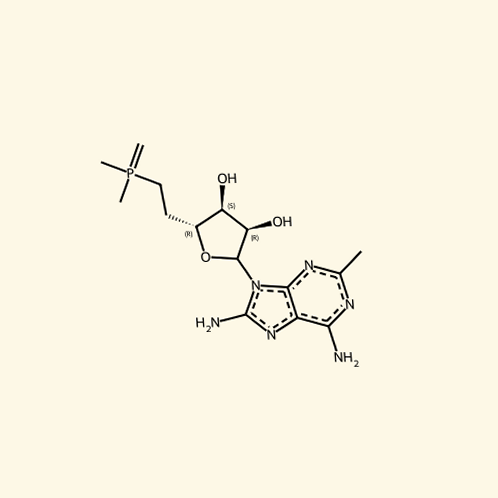 C=P(C)(C)CC[C@H]1OC(n2c(N)nc3c(N)nc(C)nc32)[C@H](O)[C@@H]1O